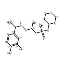 CC(NC[C@@H](O)CP(=O)(O)CC1CCCCC1)c1ccc(Cl)c(Cl)c1